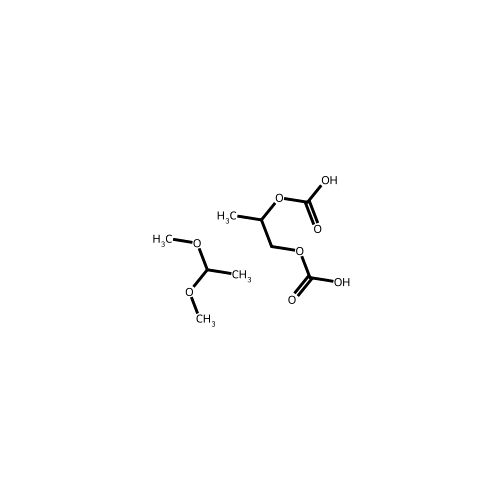 CC(COC(=O)O)OC(=O)O.COC(C)OC